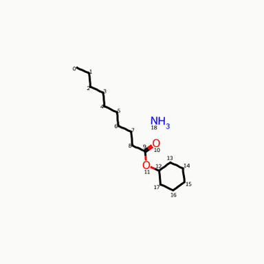 CCCCCCCCCC(=O)OC1CCCCC1.N